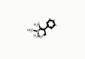 C=C/C(=C(/N)N(C)N)c1ccccc1